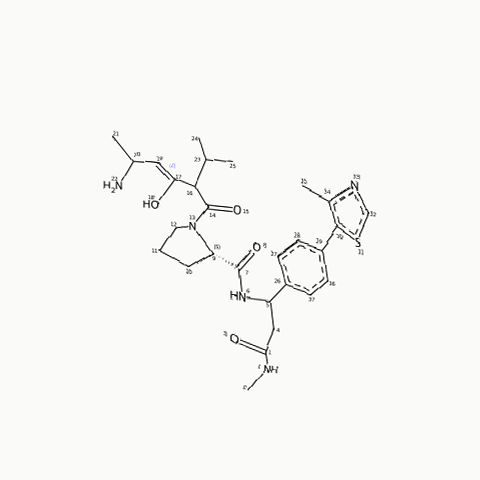 CNC(=O)CC(NC(=O)[C@@H]1CCCN1C(=O)C(/C(O)=C/C(C)N)C(C)C)c1ccc(-c2scnc2C)cc1